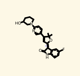 CC1(C)O/C(=C2/C(=O)Nc3ccc(F)cc32)C=C1c1ccc(N2CCCC(O)C2)nc1